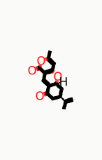 C=C(C)[C@H]1CC(=O)C2=Cc3c(cc(C)oc3=O)O[C@H]2C1